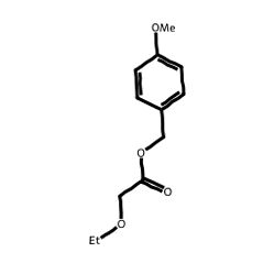 CCOCC(=O)OCc1ccc(OC)cc1